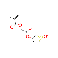 C=C(C)C(=O)OCC(=O)OC1CC[S+]([O-])C1